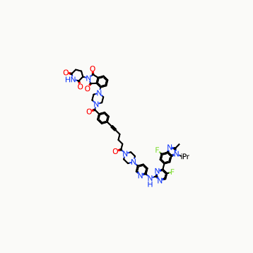 Cc1nc2c(F)cc(-c3nc(Nc4ccc(N5CCN(C(=O)CCCC#Cc6ccc(C(=O)N7CCN(c8cccc9c8C(=O)N(C8CCC(=O)NC8=O)C9=O)CC7)cc6)CC5)cn4)ncc3F)cc2n1C(C)C